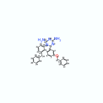 NC1=NC(c2cccc(OCc3ccccc3)c2)N(c2cccc(Cc3ccccc3)c2)C(N)=N1